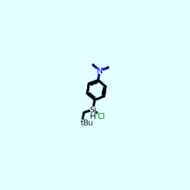 CN(C)c1ccc([SiH](Cl)CC(C)(C)C)cc1